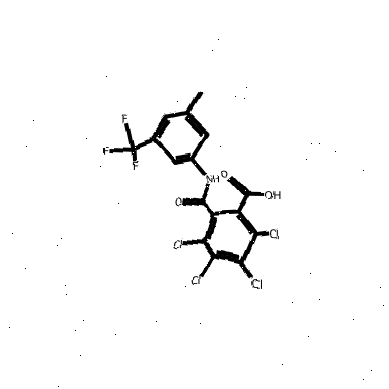 Cc1cc(NC(=O)c2c(Cl)c(Cl)c(Cl)c(Cl)c2C(=O)O)cc(C(F)(F)F)c1